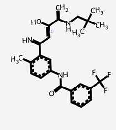 C=C(NCC(C)(C)C)/C(O)=C/C(=N)c1cc(NC(=O)c2cccc(C(F)(F)F)c2)ccc1C